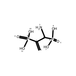 C=C([C](N)P(=O)(O)O)P(=O)(O)O